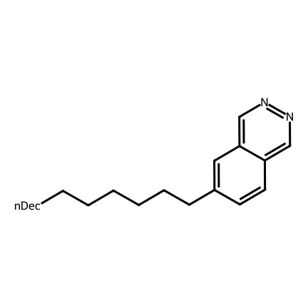 CCCCCCCCCCCCCCCCc1ccc2cnncc2c1